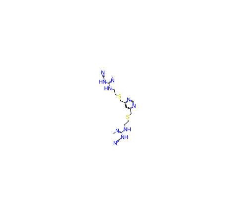 CN=C(NC#N)NCCSCc1cc(CSCCNC(=NC)NC#N)ncn1